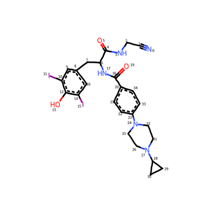 N#CCNC(=O)C(Cc1cc(I)c(O)c(I)c1)NC(=O)c1ccc(N2CCN(C3CC3)CC2)cc1